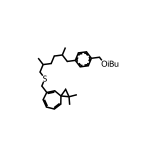 CC(C)COCc1ccc(CC(C)CCC(C)CSCC2=CC3(C=CC=C2)CC3(C)C)cc1